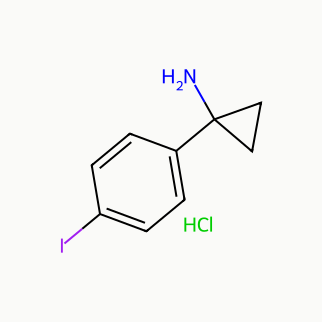 Cl.NC1(c2ccc(I)cc2)CC1